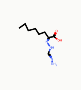 CCCCCCC(=NNC=NN)C(=O)O